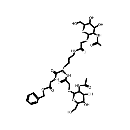 CC(=O)NC1C(OCC(=O)NCCCC[C@H](NC(=O)COC2OC(CO)C(O)C(O)C2NC(C)=O)C(=O)NCC(=O)OCc2ccccc2)OC(CO)C(O)C1O